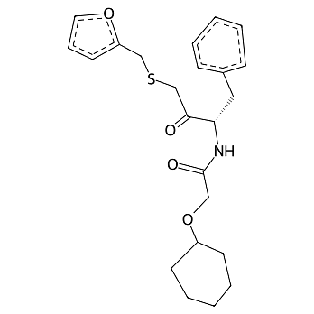 O=C(COC1CCCCC1)N[C@@H](Cc1ccccc1)C(=O)CSCc1ccco1